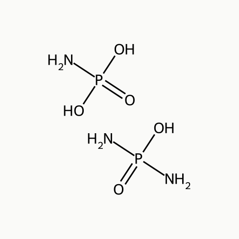 NP(=O)(O)O.NP(N)(=O)O